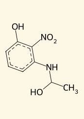 CC(O)Nc1cccc(O)c1[N+](=O)[O-]